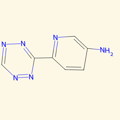 Nc1ccc(-c2nncnn2)nc1